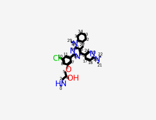 CNCC(O)COc1cc(Cl)cc(-c2nc(-c3ccc(N(C)C)nc3)c(C)c(N(C)C3CCCCC3)n2)c1